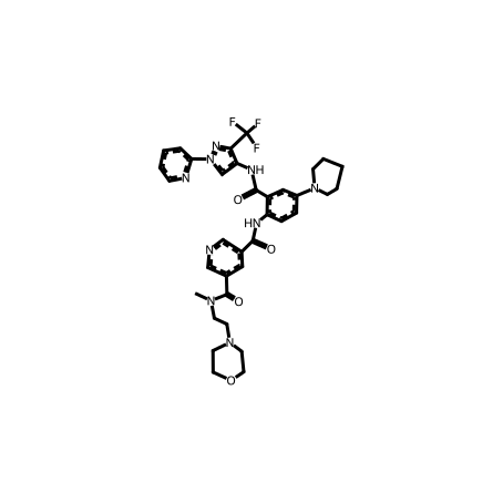 CN(CCN1CCOCC1)C(=O)c1cncc(C(=O)Nc2ccc(N3CCCCC3)cc2C(=O)Nc2cn(-c3ccccn3)nc2C(F)(F)F)c1